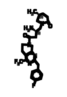 C[C@@H]1CCC(=O)N(C[C@@H](N)CC(=O)N2CCc3c(nc(Cc4ccc(F)cc4)nc3C(F)(F)F)C2)C1